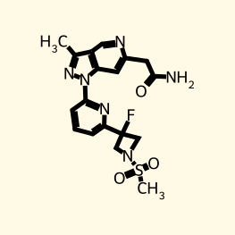 Cc1nn(-c2cccc(C3(F)CN(S(C)(=O)=O)C3)n2)c2cc(CC(N)=O)ncc12